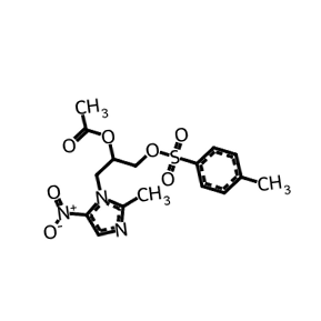 CC(=O)OC(COS(=O)(=O)c1ccc(C)cc1)Cn1c([N+](=O)[O-])cnc1C